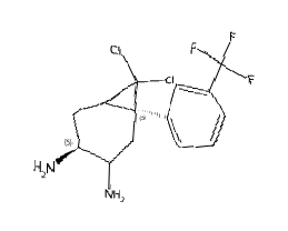 NC1C[C@@]2(c3cccc(C(F)(F)F)c3)C(C[C@@H]1N)C2(Cl)Cl